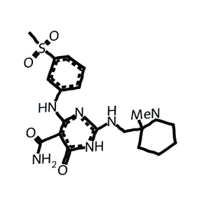 CNC1(CNc2nc(Nc3cccc(S(C)(=O)=O)c3)c(C(N)=O)c(=O)[nH]2)CCCCC1